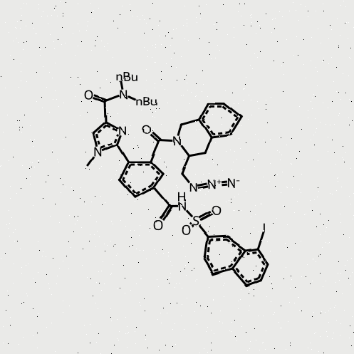 CCCCN(CCCC)C(=O)c1cn(C)c(-c2ccc(C(=O)NS(=O)(=O)c3ccc4cccc(I)c4c3)cc2C(=O)N2Cc3ccccc3CC2CN=[N+]=[N-])n1